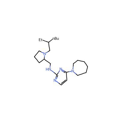 CCCCC(CC)CN1CCCC1CNc1nccc(N2CCCCCC2)n1